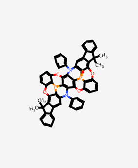 CC1(C)c2ccccc2-c2cc3c4c(c21)Oc1cccc2c1P4(=S)c1c(c4c5c(c1N3c1ccccc1)Oc1cccc3c1P5(=S)c1c(cc5c(c1O3)C(C)(C)c1ccccc1-5)N4c1ccccc1)O2